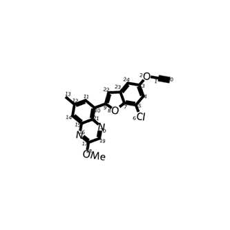 C#COc1cc(Cl)c2oc(-c3cc(C)cc4nc(OC)cnc34)cc2c1